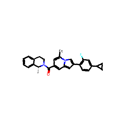 CCc1cc(C(=O)N2CCc3ccccc3[C@H]2C)cc2cc(-c3ccc(C4CC4)cc3F)cn12